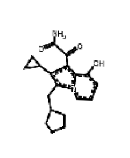 NC(=O)C(=O)c1c(C2CC2)c(CC2CCCC2)n2cccc(O)c12